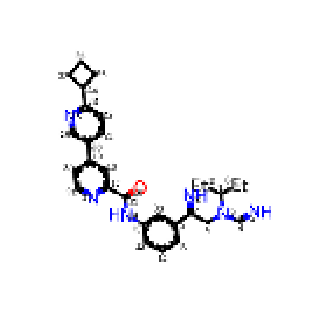 CCC(CC)N(C=N)CC(=N)c1cccc(NC(=O)c2cc(-c3ccc(C4CCC4)nc3)ccn2)c1